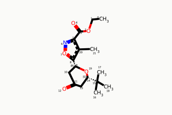 CCOC(=O)c1noc([C@H]2CC(=O)C[C@@H](C(C)(C)C)O2)c1C